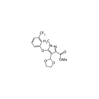 COC(=O)c1nn(C)c(Oc2cccc(C(F)(F)F)c2)c1C1OCCO1